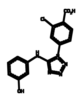 O=C(O)c1ccc(-n2nnnc2Nc2cccc(O)c2)cc1Cl